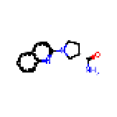 NC(=O)[C@H]1CCN(c2ccc3ccccc3n2)C1